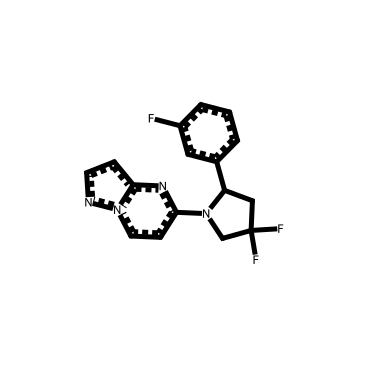 Fc1cccc(C2CC(F)(F)CN2c2ccn3nccc3n2)c1